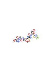 COC(=O)[C@@H](C)C[C@H](Cc1nc(C(F)(F)F)cs1)NC(=O)c1csc([C@@H](C[C@H](C(C)C)N(C)C(=O)C2(NC(=O)[C@H]3COCCN3C)CC2)OC(C)=O)n1